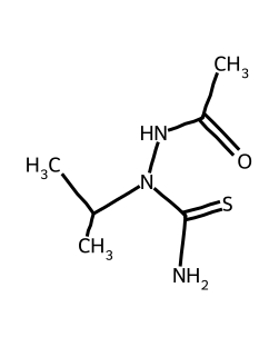 CC(=O)NN(C(N)=S)C(C)C